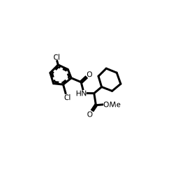 COC(=O)C(NC(=O)c1cc(Cl)ccc1Cl)C1CCCCC1